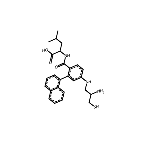 CC(C)CC(NC(=O)c1ccc(NCC(N)CS)cc1-c1cccc2ccccc12)C(=O)O